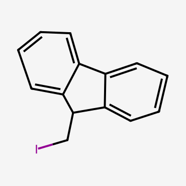 ICC1c2ccccc2-c2ccccc21